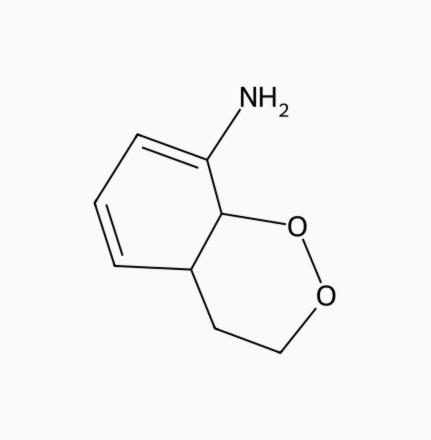 NC1=CC=CC2CCOOC12